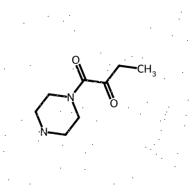 CCC(=O)C(=O)N1CC[N]CC1